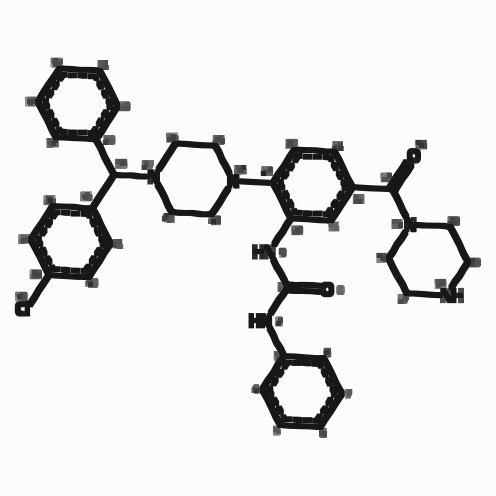 O=C(Nc1ccccc1)Nc1cc(C(=O)N2CCNCC2)ccc1N1CCN(C(c2ccccc2)c2ccc(Cl)cc2)CC1